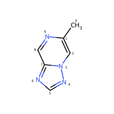 Cc1cn2ncnc2cn1